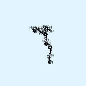 NCC(C(=O)NCCC(=O)Nc1cc(COC(=O)Nc2cccc(C(=O)N3CCC(CCCCNC(=O)/C=C/c4cccnc4)CC3)c2)ccc1OC1OC(C(=O)O)C(O)[C@H](O)[C@@H]1O)N1C(=O)C=CC1=O